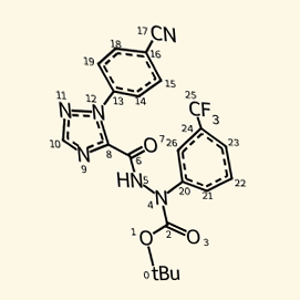 CC(C)(C)OC(=O)N(NC(=O)c1ncnn1-c1ccc(C#N)cc1)c1cccc(C(F)(F)F)c1